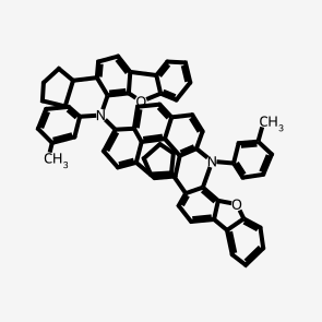 Cc1cccc(N(c2ccc3ccc4c(N(c5cccc(C)c5)c5c(C6CCCC6)ccc6c5oc5ccccc56)ccc5ccc2c3c54)c2c(C3CCCC3)ccc3c2oc2ccccc23)c1